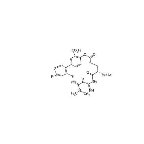 CC(=O)N[C@@H](CSC(=O)Oc1ccc(-c2ccc(F)cc2F)cc1C(=O)O)C(=O)NC(=N)NC(=N)N(C)C